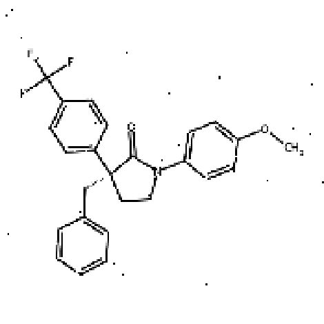 COc1ccc(N2CC[C@@](Cc3ccccc3)(c3ccc(C(F)(F)F)cc3)C2=O)cc1